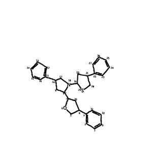 c1ccc(C2COC([C]3CC(c4ccccc4)CN3C3CC(c4ccccc4)CS3)C2)cc1